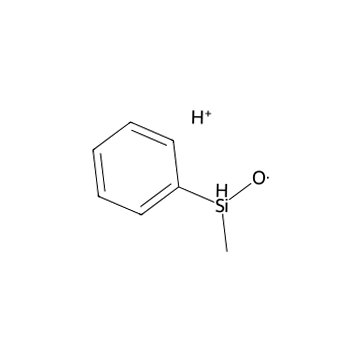 C[SiH]([O])c1ccccc1.[H+]